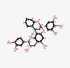 Oc1ccc([C@H]2Oc3c(c(O)cc4c3[C@@H]3C[C@@](c5cc(O)c(O)c(O)c5)(Oc5ccccc53)O4)C[C@@H]2O)cc1O